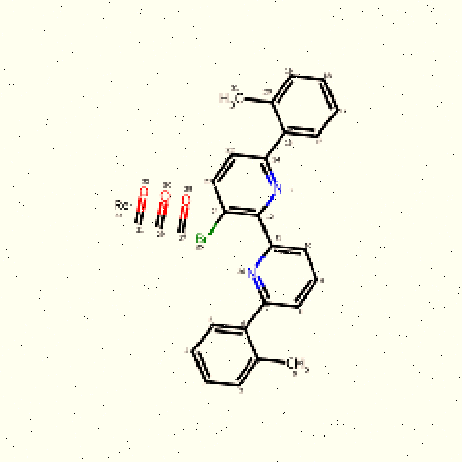 Cc1ccccc1-c1cccc(-c2nc(-c3ccccc3C)ccc2Br)n1.[C]=O.[C]=O.[C]=O.[Re]